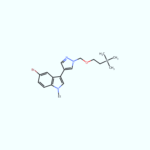 CCn1cc(-c2cnn(COCC[Si](C)(C)C)c2)c2cc(Br)ccc21